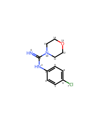 N=C(Nc1ccc(Cl)cc1)N1CCOCC1